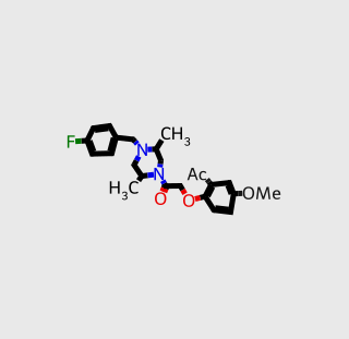 COc1ccc(OCC(=O)N2CC(C)N(Cc3ccc(F)cc3)CC2C)c(C(C)=O)c1